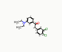 CCN(CC)c1cccc(C(=O)Cc2ccc(Cl)c(Cl)c2)c1